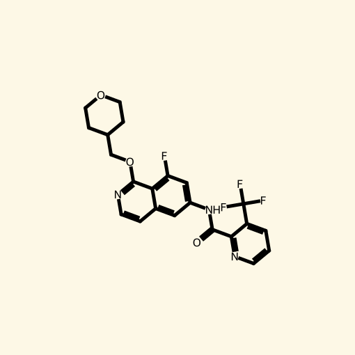 O=C(Nc1cc(F)c2c(OCC3CCOCC3)nccc2c1)c1ncccc1C(F)(F)F